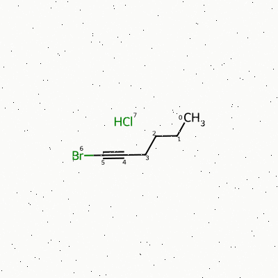 CCCCC#CBr.Cl